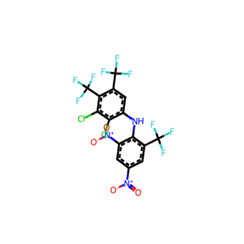 O=[N+]([O-])c1cc([N+](=O)[O-])c(Nc2cc(C(F)(F)F)c(C(F)(F)F)c(Cl)c2Cl)c(C(F)(F)F)c1